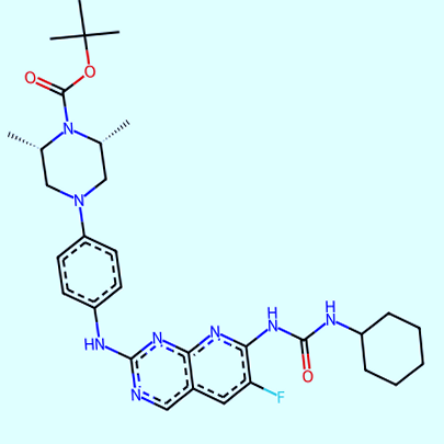 C[C@@H]1CN(c2ccc(Nc3ncc4cc(F)c(NC(=O)NC5CCCCC5)nc4n3)cc2)C[C@H](C)N1C(=O)OC(C)(C)C